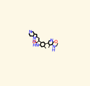 Cc1cc2c(cc1-c1cnc3c(c1C)NCCO3)/C(=C/c1cc3cnccc3[nH]1)C(=O)N2